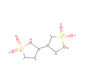 O=S1(=O)CC(C2CCS(=O)(=O)O2)CO1